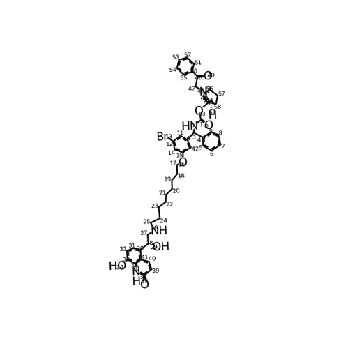 O=C(NC(c1ccccc1)c1cc(Br)cc(OCCCCCCCCCNC[C@H](O)c2ccc(O)c3[nH]c(=O)ccc23)c1)O[C@H]1C[N+]2(CC(=O)c3ccccc3)CCC1CC2